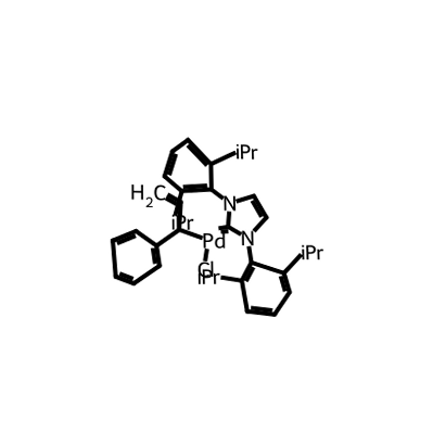 C=C[CH](c1ccccc1)[Pd]([Cl])=[c]1n(-c2c(C(C)C)cccc2C(C)C)ccn1-c1c(C(C)C)cccc1C(C)C